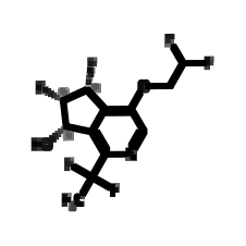 O[C@H]1c2c(C(F)(F)C(F)(F)F)ncc(OCC(F)F)c2[C@@H](F)[C@H]1F